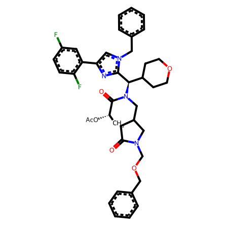 CC(=O)O[C@@H](C)C(=O)N(CC1CC(=O)N(COCc2ccccc2)C1)[C@@H](c1nc(-c2cc(F)ccc2F)cn1Cc1ccccc1)C1CCOCC1